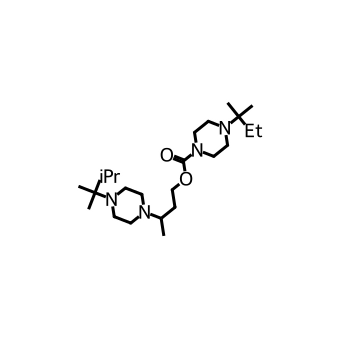 CCC(C)(C)N1CCN(C(=O)OCCC(C)N2CCN(C(C)(C)C(C)C)CC2)CC1